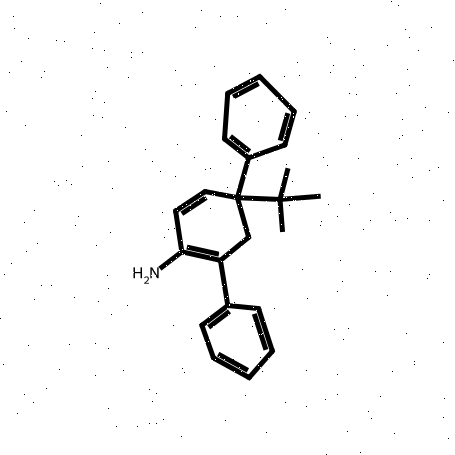 CC(C)(C)C1(c2ccccc2)C=CC(N)=C(c2ccccc2)C1